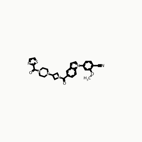 COc1cc(-n2ccc3cc(C(=O)N4CC(N5CCN(C(=O)c6nccs6)CC5)C4)ccc32)ccc1C#N